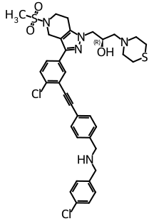 CS(=O)(=O)N1CCc2c(c(-c3ccc(Cl)c(C#Cc4ccc(CNCc5ccc(Cl)cc5)cc4)c3)nn2C[C@H](O)CN2CCSCC2)C1